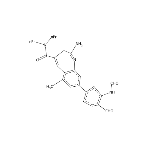 CCCN(CCC)C(=O)C1=Cc2c(C)cc(-c3ccc(C=O)c(NC=O)c3)cc2N=C(N)C1